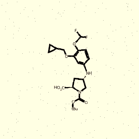 CC(C)(C)OC(=O)N1C[C@@H](Nc2ccc(OC(F)F)c(OCC3CC3)c2)C[C@@H]1C(=O)O